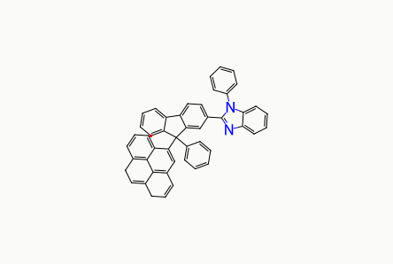 C1=Cc2cc(C3(c4ccccc4)c4ccccc4-c4ccc(-c5nc6ccccc6n5-c5ccccc5)cc43)c3cccc4c3c2C(=CC4)C1